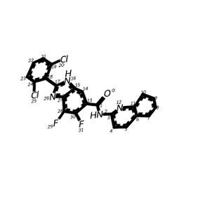 O=C(Nc1ccc2ccccc2n1)c1cc2[nH]c(-c3c(Cl)cccc3Cl)nc2c(F)c1F